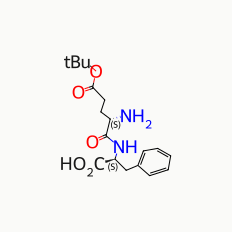 CC(C)(C)OC(=O)CC[C@H](N)C(=O)N[C@@H](Cc1ccccc1)C(=O)O